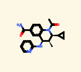 CC(=O)N1c2ccc(C(N)=O)cc2[C@H](Nc2ccccn2)[C@@H](C)[C@@H]1C1CC1